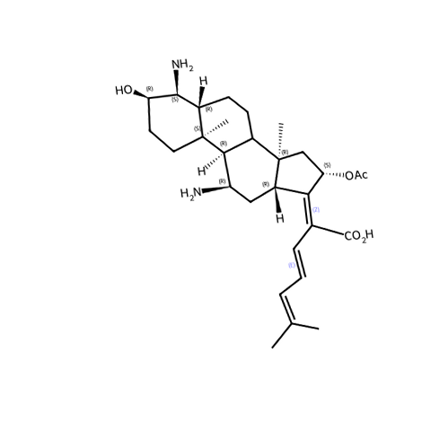 CC(=O)O[C@H]1C[C@]2(C)C3CC[C@H]4[C@H](N)[C@H](O)CC[C@]4(C)[C@@H]3[C@H](N)C[C@H]2/C1=C(\C=C\C=C(C)C)C(=O)O